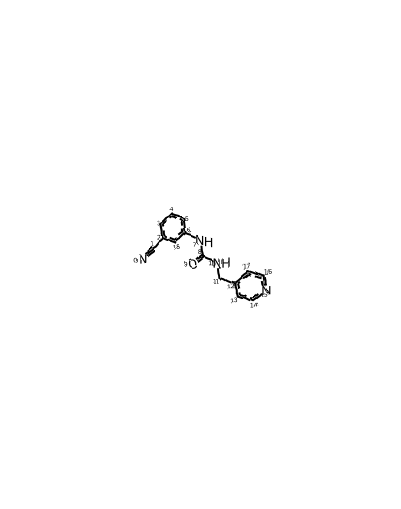 N#Cc1cccc(NC(=O)NCc2ccncc2)c1